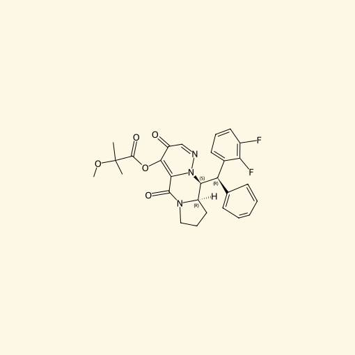 COC(C)(C)C(=O)Oc1c2n(ncc1=O)[C@@H]([C@H](c1ccccc1)c1cccc(F)c1F)[C@H]1CCCN1C2=O